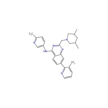 CC1CC(C)CN(Cc2nc(Nc3ccc(C(F)(F)F)nc3)c3ccc(-c4ncccc4C(F)(F)F)cc3n2)C1